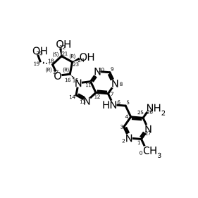 Cc1ncc(CNc2ncnc3c2ncn3[C@@H]2O[C@H](CO)[C@@H](O)[C@H]2O)c(N)n1